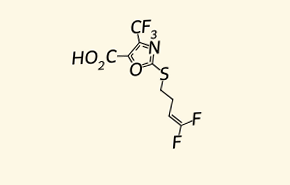 O=C(O)c1oc(SCCC=C(F)F)nc1C(F)(F)F